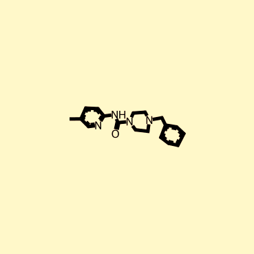 Cc1ccc(NC(=O)N2CCN(Cc3ccccc3)CC2)nc1